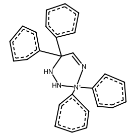 C1=N[N+](c2ccccc2)(c2ccccc2)NNC1(c1ccccc1)c1ccccc1